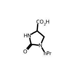 CCCN1CC(C(=O)O)NC1=O